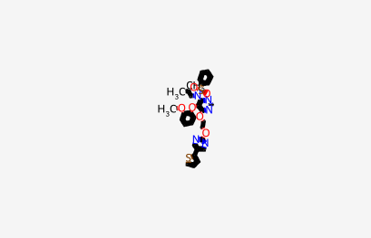 COc1ccccc1Oc1c(OCCOc2ncc(-c3cccs3)cn2)ncnc1N(CC(C)C)S(=O)(=O)c1ccccc1